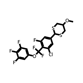 COC1CSC(c2cc(F)c(C(F)(F)Oc3cc(F)c(F)c(F)c3)c(Cl)c2)SC1